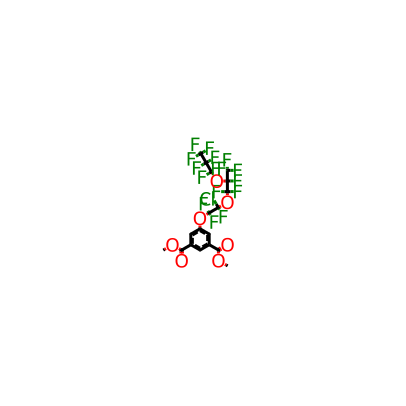 COC(=O)c1cc(OC(F)(F)C(F)(Cl)OC(F)(F)C(F)(OC(F)(F)C(F)(F)C(F)(F)F)C(F)(F)F)cc(C(=O)OC)c1